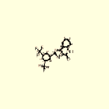 O=c1[nH]c2ccccc2c2nc(-c3cc(C(F)(F)F)cc(C(F)(F)F)c3)nn12